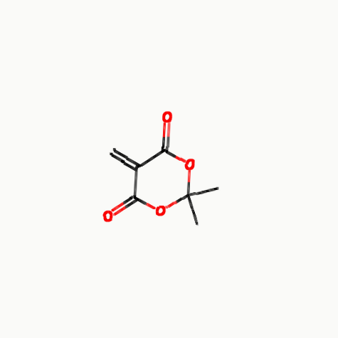 C=C1C(=O)OC(C)(C)OC1=O